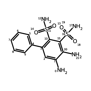 Nc1cc(-c2ccccc2)c(S(N)(=O)=O)c(S(N)(=O)=O)c1N